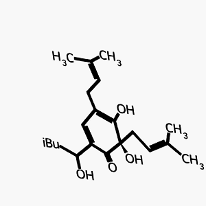 CCC(C)C(O)C1=CC(CC=C(C)C)=C(O)[C@](O)(CC=C(C)C)C1=O